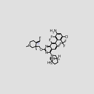 CN1CC/C(=C\F)[C@](C)(COc2nc(N3C[C@H]4CC[C@@H](C3)N4)c3cc(F)c(-c4c(F)c(N)cc(Cl)c4C(F)(F)F)c(F)c3n2)C1